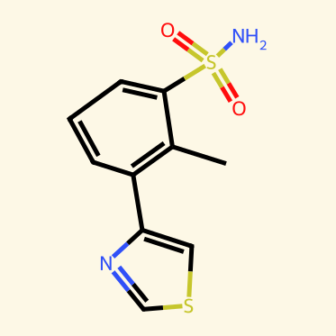 Cc1c(-c2cscn2)cccc1S(N)(=O)=O